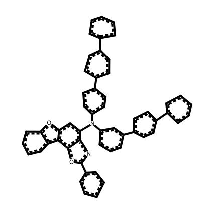 c1ccc(-c2ccc(-c3ccc(N(c4cccc(-c5ccc(-c6ccccc6)cc5)c4)c4cc5oc6ccccc6c5c5oc(-c6ccccc6)nc45)cc3)cc2)cc1